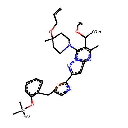 C=CCOC1(C)CCN(c2c(C(OC(C)(C)C)C(=O)O)c(C)nc3cc(-c4ncc(Cc5ccccc5O[Si](C)(C)C(C)(C)C)s4)nn23)CC1